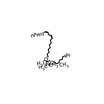 CCCCC/C=C\C/C=C\CCCCCCCCOC(C)(COCCC(C)CCCC(C)C)N(C)C